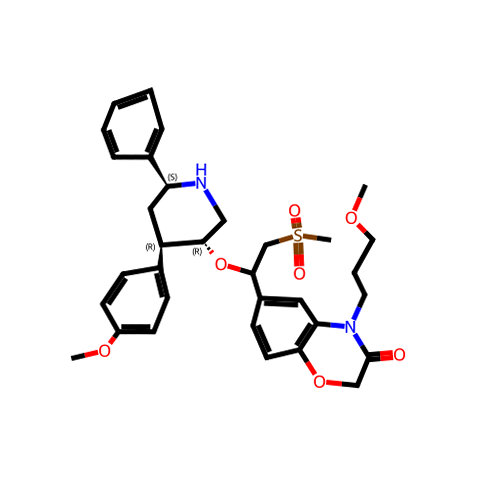 COCCCN1C(=O)COc2ccc(C(CS(C)(=O)=O)O[C@H]3CN[C@H](c4ccccc4)C[C@@H]3c3ccc(OC)cc3)cc21